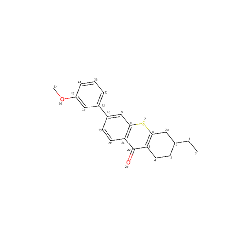 CCC1CCc2c(sc3cc(-c4cccc(OC)c4)ccc3c2=O)C1